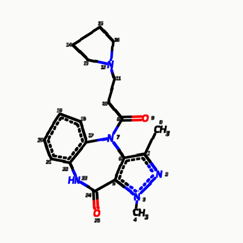 Cc1nn(C)c2c1N(C(=O)CCN1CCCC1)c1ccccc1NC2=O